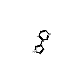 c1cncc(-c2cc[nH]c2)c1